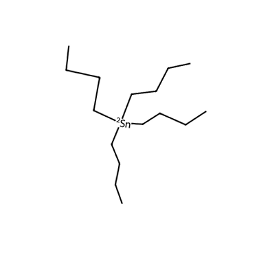 CCC[CH2][2Sn]([CH2]CCC)([CH2]CCC)[CH2]CCC